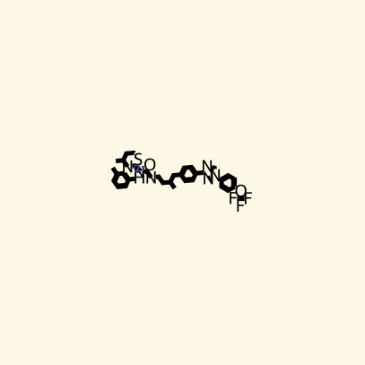 Cc1cccc(C)c1N1/C(=N/C(=O)NCCC(C)Cc2ccc(-c3ncn(-c4ccc(OC(F)(F)F)cc4)n3)cc2)SCCC1C